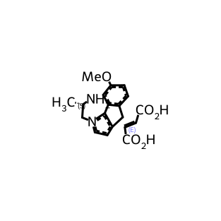 COc1ccc2c(c1)-c1c(ccn1C[C@H](C)N)C2.O=C(O)/C=C/C(=O)O